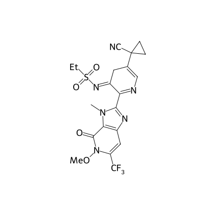 CCS(=O)(=O)N=C1CC(C2(C#N)CC2)=CN=C1c1nc2cc(C(F)(F)F)n(OC)c(=O)c2n1C